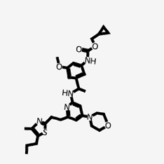 CCCc1sc(CCc2cc(N3CCOCC3)cc(NC(C)c3cc(NC(=O)OCC4CC4)cc(OC)c3)n2)nc1C